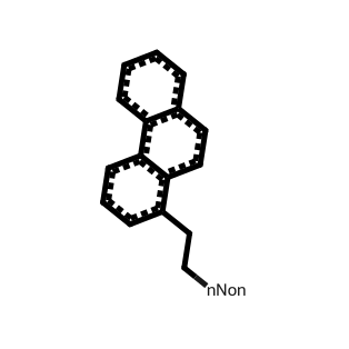 [CH2]CCCCCCCCCCc1cccc2c1ccc1ccccc12